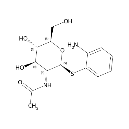 CC(=O)N[C@@H]1[C@@H](O)[C@H](O)[C@@H](CO)O[C@H]1Sc1ccccc1N